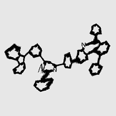 c1ccc(-c2nc(-c3ccc(-c4ccc5c(c4)nc(-c4ccccc4)c4cccc(-c6ccccc6)c45)cc3)cc(-c3cccc(C4c5ccccc5-c5ccccc54)c3)n2)cc1